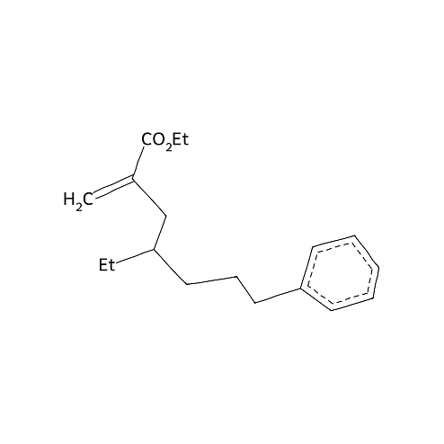 C=C(CC(CC)CCCc1ccccc1)C(=O)OCC